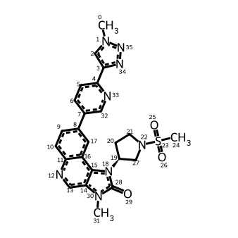 Cn1cc(-c2ccc(-c3ccc4ncc5c(c4c3)n([C@H]3CCN(S(C)(=O)=O)C3)c(=O)n5C)cn2)nn1